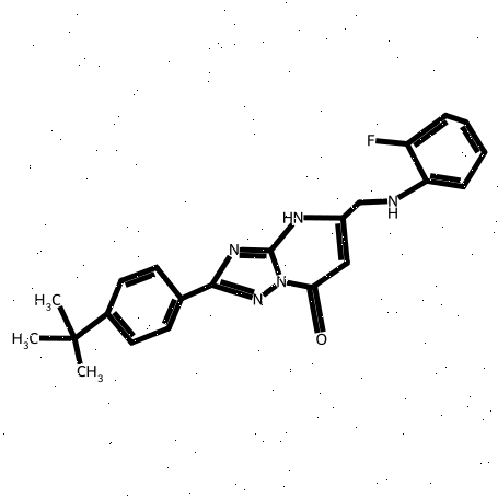 CC(C)(C)c1ccc(-c2nc3[nH]c(CNc4ccccc4F)cc(=O)n3n2)cc1